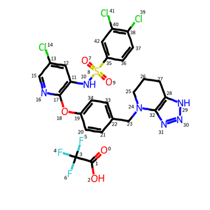 O=C(O)C(F)(F)F.O=S(=O)(Nc1cc(Cl)cnc1Oc1ccc(CN2CCCc3[nH]nnc32)cc1)c1ccc(Cl)c(Cl)c1